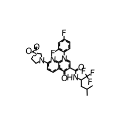 CC(C)CC(NC(=O)c1cn(-c2ccc(F)cc2F)c2nc(N3CCS(=O)(=O)C3)ccc2c1=O)C(F)(F)F